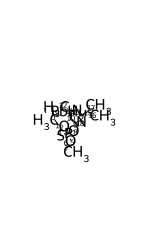 CCOP(=S)(OCC)Oc1cc(C)nc(C(C)C)n1.[PbH2]